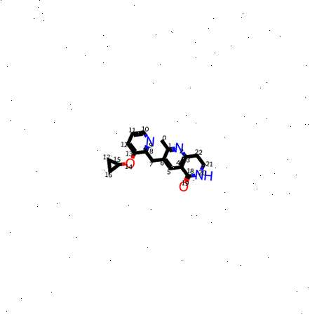 Cc1nc2c(cc1Cc1ncccc1OC1CC1)C(=O)NCC2